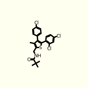 Cc1c(CNC(=O)C(C)(C)C)sc(-c2ccc(Cl)cc2Cl)c1-c1ccc(Cl)cc1